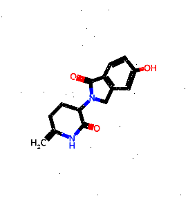 C=C1CCC(N2Cc3cc(O)ccc3C2=O)C(=O)N1